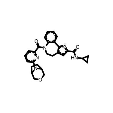 O=C(NC1CC1)c1cc2c(s1)-c1ccccc1N(C(=O)c1cccc(N3C4CCC3COC4)n1)CC2